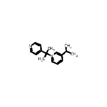 CC(C)c1ccc[n+](C(C)(C)c2ccncc2)c1